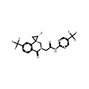 O=C(CN1C[C@]2(C[C@@H]2F)c2cc(C(F)(F)F)ccc2C1=O)Nc1ncc(C(F)(F)F)cn1